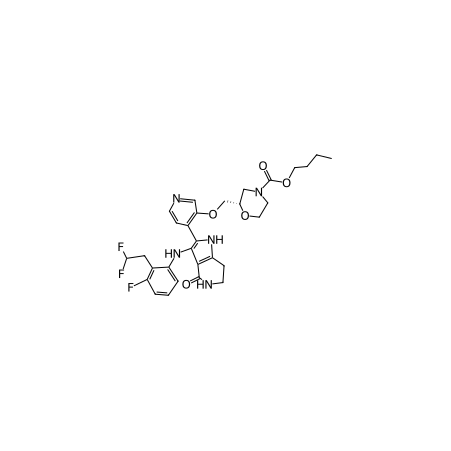 CCCCOC(=O)N1CCO[C@H](COc2cnccc2-c2[nH]c3c(c2Nc2cccc(F)c2CC(F)F)C(=O)NCC3)C1